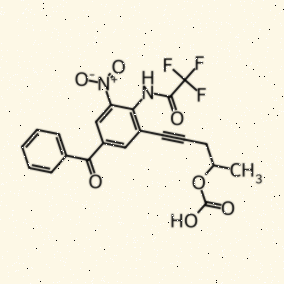 CC(CC#Cc1cc(C(=O)c2ccccc2)cc([N+](=O)[O-])c1NC(=O)C(F)(F)F)OC(=O)O